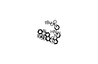 Cc1ccc2c(N(c3c(F)cccc3F)S(C)(=O)=O)c(F)ccc2c1Oc1ncccc1-c1ccnc(NC2CCCN(C(=O)OC(C)(C)C)C2)n1